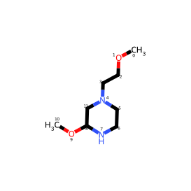 COCCN1CCNC(OC)C1